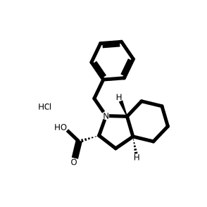 Cl.O=C(O)[C@H]1C[C@@H]2CCCC[C@H]2N1Cc1ccccc1